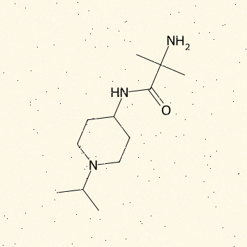 CC(C)N1CCC(NC(=O)C(C)(C)N)CC1